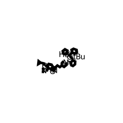 CN(C)Cc1c(OCC2CC2)ccc2c(CCC3CCN(C[C@@H]4CCCC[C@@H]4C(O[SiH](c4ccccc4)c4ccccc4)C(C)(C)C)CC3)noc12